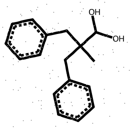 CC(Cc1ccccc1)(Cc1ccccc1)C(O)O